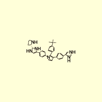 CC(C)(C)c1ccc(-c2c(-c3ccc(C4=CNCN4)cc3)ccn2-c2ccc(C3=CNC([C@@H]4CCCN4)N3)cc2)cc1